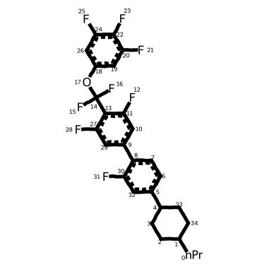 CCCC1CCC(c2ccc(-c3cc(F)c(C(F)(F)Oc4cc(F)c(F)c(F)c4)c(F)c3)c(F)c2)CC1